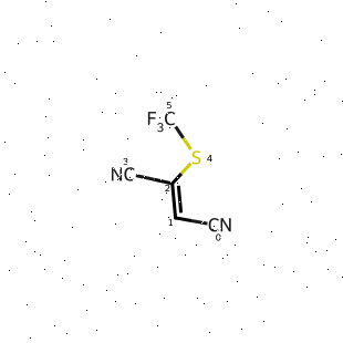 N#CC=C(C#N)SC(F)(F)F